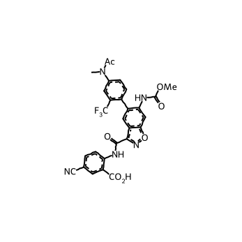 COC(=O)Nc1cc2onc(C(=O)Nc3ccc(C#N)cc3C(=O)O)c2cc1-c1ccc(N(C)C(C)=O)cc1C(F)(F)F